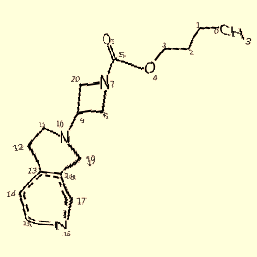 CCCCOC(=O)N1CC(N2CCc3ccncc3C2)C1